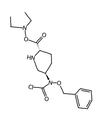 CCN(CC)OC(=O)[C@@H]1CC[C@@H](N(OCc2ccccc2)C(=O)Cl)CN1